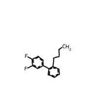 CCCCc1ccccc1-c1ccc(F)c(F)c1